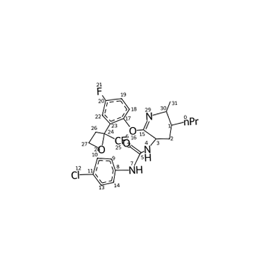 CCCC1CC(NC(=O)Nc2ccc(Cl)cc2)C(Oc2ccc(F)cc2C2(C(F)(F)F)CCO2)=NC1C